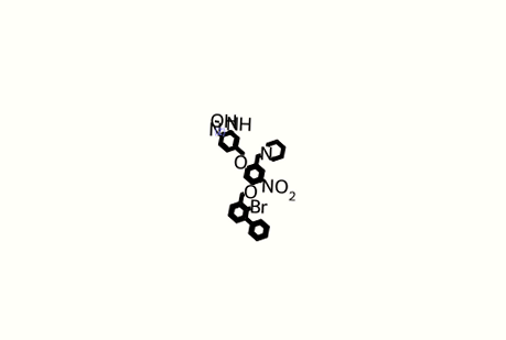 N=C1C=C(COc2cc(OCc3cccc(-c4ccccc4)c3Br)c([N+](=O)[O-])cc2CN2CCCCC2)C=C/C1=N/O